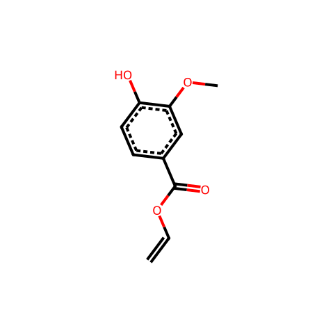 C=COC(=O)c1ccc(O)c(OC)c1